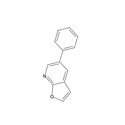 [c]1cc2cc(-c3ccccc3)cnc2o1